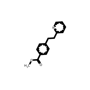 COC(=O)c1ccc(CCc2ccccn2)cc1